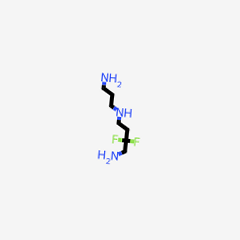 NCCCNCCC(F)(F)CN